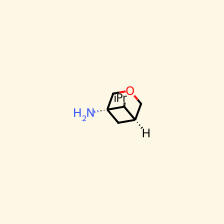 CC(C)C1[C@H]2COC[C@]1(N)C2